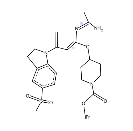 C=C(/C=C(\N=C(\C)N)OC1CCN(C(=O)OC(C)C)CC1)N1CCc2cc(S(C)(=O)=O)ccc21